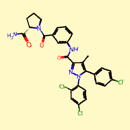 Cc1c(C(=O)Nc2cccc(C(=O)N3CCC[C@H]3C(N)=O)c2)nn(-c2ccc(Cl)cc2Cl)c1-c1ccc(Cl)cc1